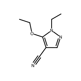 CCOc1c(C#N)cnn1CC